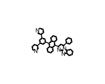 c1ccc(-c2cc(-c3c4ccccc4c(-c4cc(-c5cccnc5)cc(-c5cccnc5)c4)c4ccccc34)nc3nc4ccccc4n23)cc1